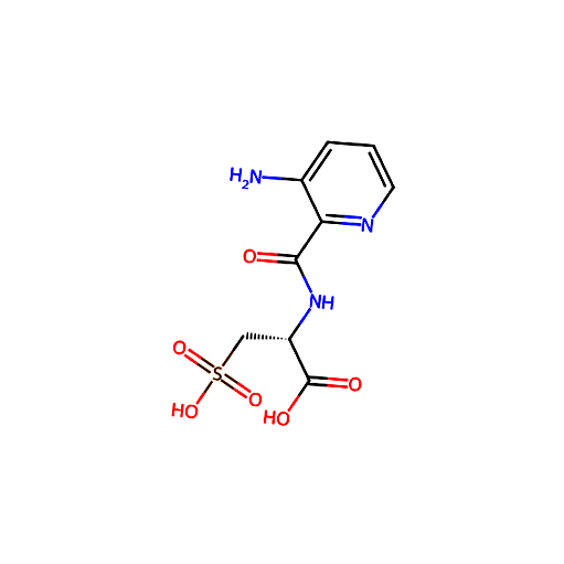 Nc1cccnc1C(=O)N[C@@H](CS(=O)(=O)O)C(=O)O